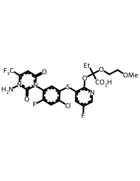 CCC(OCCOC)(Oc1ncc(F)cc1Sc1cc(-n2c(=O)cc(C(F)(F)F)n(N)c2=O)c(F)cc1Cl)C(=O)O